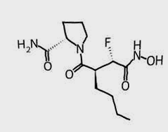 CCCC[C@@H](C(=O)N1CCC[C@H]1C(N)=O)[C@H](F)C(=O)NO